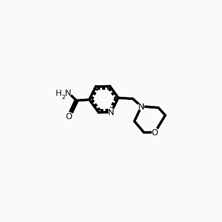 NC(=O)c1ccc(CN2CCOCC2)nc1